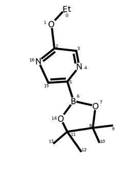 CCOc1cnc(B2OC(C)(C)C(C)(C)O2)cn1